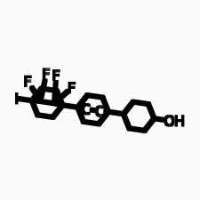 OC1CCC(C23CCC(C45CCC(I)(CC4)C(F)(F)C5(F)F)(CC2)CC3)CC1